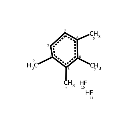 Cc1ccc(C)c(C)c1C.F.F